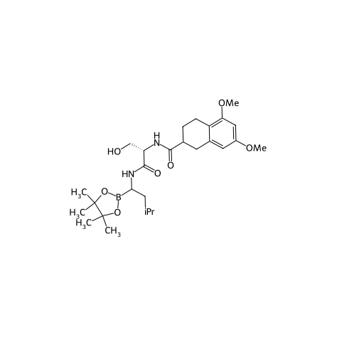 COc1cc2c(c(OC)c1)CCC(C(=O)N[C@@H](CO)C(=O)NC(CC(C)C)B1OC(C)(C)C(C)(C)O1)C2